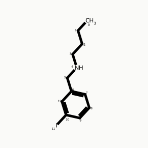 CCCCNCc1cccc(I)c1